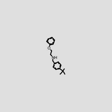 CC(C)(C)c1ccc(CNCCOc2ccccc2)cc1